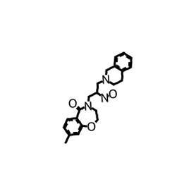 Cc1ccc2c(c1)OCCN(CC(CN1CCc3ccccc3C1)N=O)C2=O